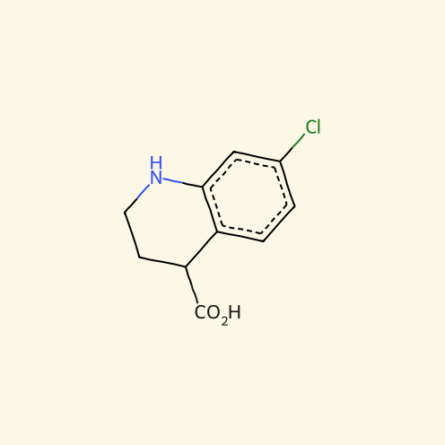 O=C(O)C1CCNc2cc(Cl)ccc21